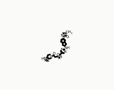 Cn1cnn(-c2ccc3c(c2)CC(Nc2ncc(-c4nnc(CC(=O)N5CCc6[nH]nnc6C5)o4)cn2)C3)c1=O